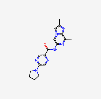 Cc1cn2cc(NC(=O)c3cnc(N4CCCC4)cn3)nc(C)c2n1